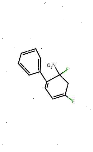 O=[N+]([O-])C1(F)CC(F)=CC=C1c1ccccc1